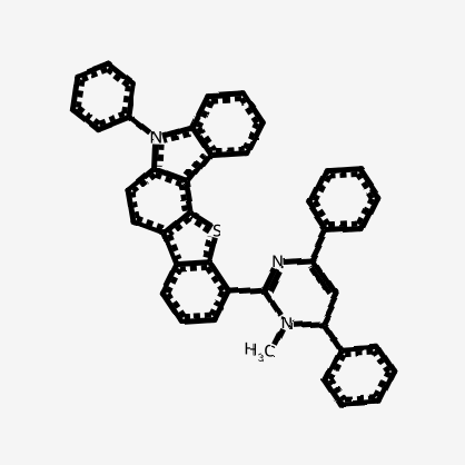 CN1C(c2cccc3c2sc2c3ccc3c2c2ccccc2n3-c2ccccc2)=NC(c2ccccc2)=CC1c1ccccc1